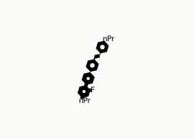 CCCc1ccc(-c2ccc([C@H]3CC[C@H](CC[C@H]4CC[C@H](CCC)CC4)CC3)cc2)c(F)c1